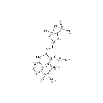 CC1(C)C[C@H](CCC(Nc2cccc(S(N)(=O)=O)n2)c2cc(Cl)ccn2)CN1C(=O)O